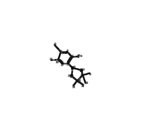 Cc1cc(F)c(B2OC(C)(C)C(C)(C)O2)cc1C